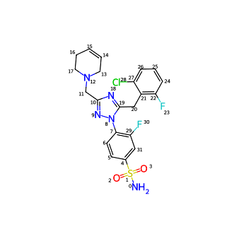 NS(=O)(=O)c1ccc(-n2nc(CN3CC=CCC3)nc2Cc2c(F)cccc2Cl)c(F)c1